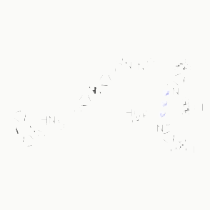 CC1(C)C(/C=C/C=C/C=C2\N(CCCS(=O)(=O)O)c3ccc(S(=O)(=O)[O-])cc3C2(C)CCCCC(=O)N2CCN(C(=O)COc3ccc(N=Nc4ccc(OCCCC(=O)NCCC(=O)N5Cc6ccccc6C#Cc6ccccc65)cc4)cc3)CC2)=[N+](CCCS(=O)(=O)O)c2ccc(S(=O)(=O)O)cc21